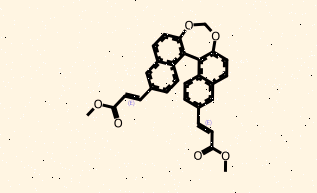 COC(=O)/C=C/c1ccc2c3c(ccc2c1)OCOc1ccc2cc(/C=C/C(=O)OC)ccc2c1-3